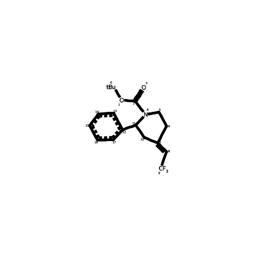 CC(C)(C)OC(=O)N1CCC(=CC(F)(F)F)CC1c1ccccc1